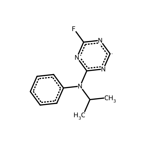 CC(C)N(c1ccccc1)c1n[c]nc(F)n1